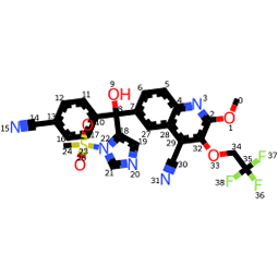 COc1nc2ccc(C(O)(c3ccc(C#N)cc3)c3cncn3S(C)(=O)=O)cc2c(C#N)c1OCC(F)(F)F